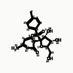 Cc1ccc(S(=O)(=O)[C@@]2(n3ccc(N)nc3=O)O[C@H](CO)[C@@H](O)[C@H]2O)cc1